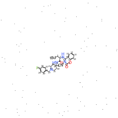 CC(C)(C)CC(Nc1nc(=O)oc2ccccc12)C(=O)NC1(C#N)CCN(Cc2ccc(F)cc2)CC1